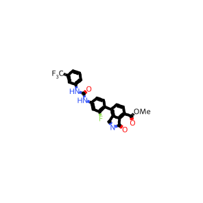 COC(=O)c1ccc(-c2ccc(NC(=O)Nc3cccc(C(F)(F)F)c3)cc2F)c2c1C(=O)N=C2